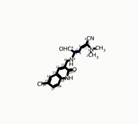 CN(C)/C(C#N)=C\C=C(/C=O)NCc1cc2cc(Cl)ccc2[nH]c1=O